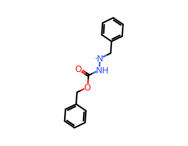 O=C(N[N]Cc1ccccc1)OCc1ccccc1